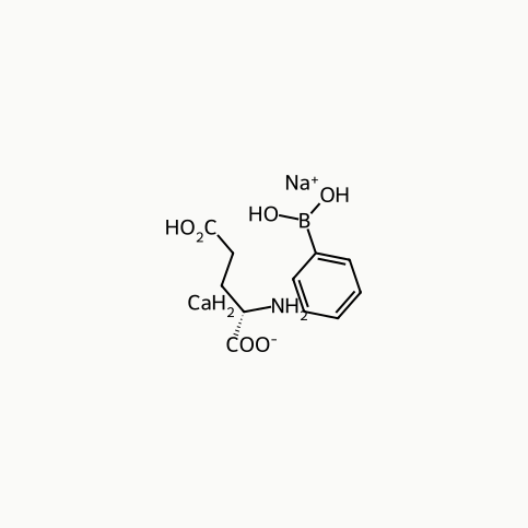 N[C@@H](CCC(=O)O)C(=O)[O-].OB(O)c1ccccc1.[CaH2].[Na+]